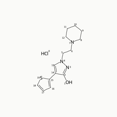 Cl.Oc1nn(CCN2CCCCC2)cc1-c1cccs1